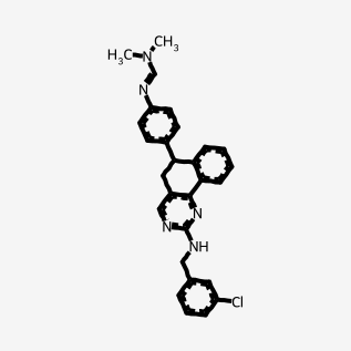 CN(C)C=Nc1ccc(C2Cc3cnc(NCc4cccc(Cl)c4)nc3-c3ccccc32)cc1